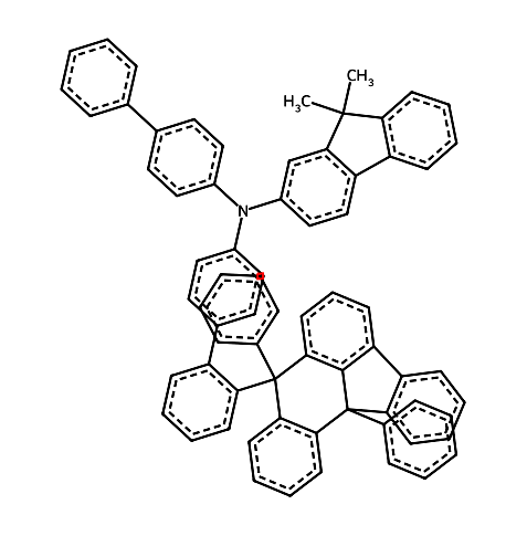 CC1(C)c2ccccc2-c2ccc(N(c3ccc(-c4ccccc4)cc3)c3ccc(-c4ccccc4C4(c5ccccc5)c5ccccc5C5(c6ccccc6)c6ccccc6-c6cccc4c65)cc3)cc21